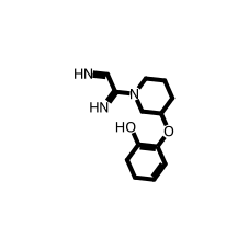 N=CC(=N)N1CCCC(OC2=C(O)CCC=C2)C1